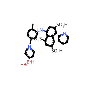 Br.Br.Cc1ccc(C)cc1.Nc1cc(S(=O)(=O)O)cc2cc(S(=O)(=O)O)cc(S(=O)(=O)O)c12.c1ccncc1.c1ccncc1